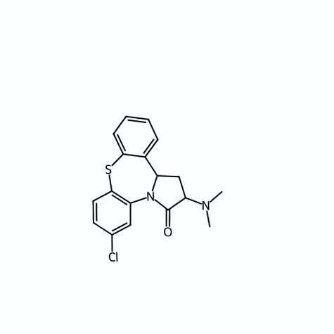 CN(C)C1CC2c3ccccc3Sc3ccc(Cl)cc3N2C1=O